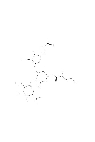 C[C@@H](O)C1O[C@H](O[C@@H]2C(N)C[C@@H](NC(=O)[C@@H](O)CCN)[C@@H](O)C2O[C@@H]2O[C@H](CNC(=N)N)C(O)[C@@H]2O)C(N)[C@@H](O)[C@@H]1O